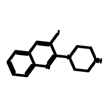 Ic1cc2ccccc2nc1N1CCNCC1